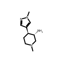 CN1CC[C@@H](c2cnn(C)c2)[C@H](N)C1